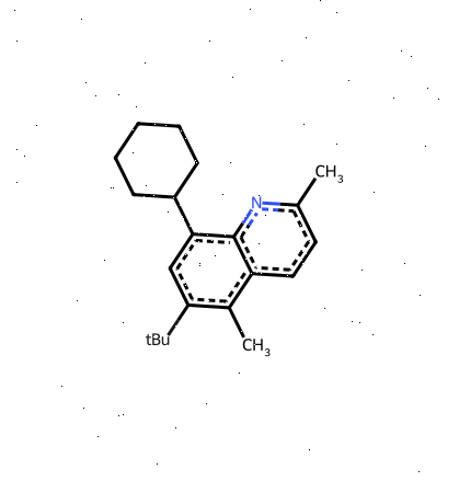 Cc1ccc2c(C)c(C(C)(C)C)cc(C3CCCCC3)c2n1